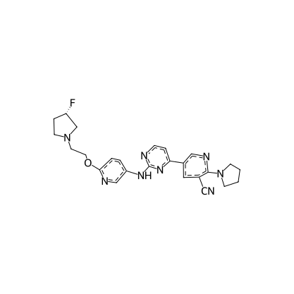 N#Cc1cc(-c2ccnc(Nc3ccc(OCCN4CC[C@H](F)C4)nc3)n2)cnc1N1CCCC1